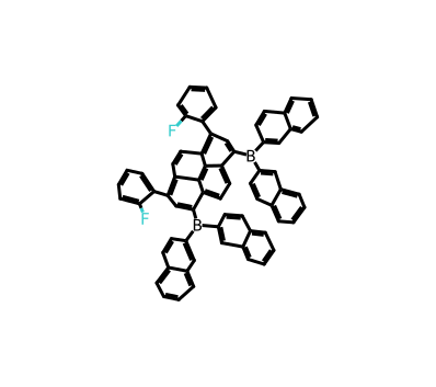 Fc1ccccc1-c1cc(B(c2ccc3ccccc3c2)c2ccc3ccccc3c2)c2ccc3c(B(c4ccc5ccccc5c4)c4ccc5ccccc5c4)cc(-c4ccccc4F)c4ccc1c2c34